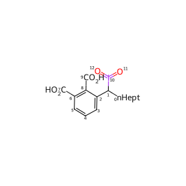 CCCCCCCC(c1cccc(C(=O)O)c1C(=O)O)I(=O)=O